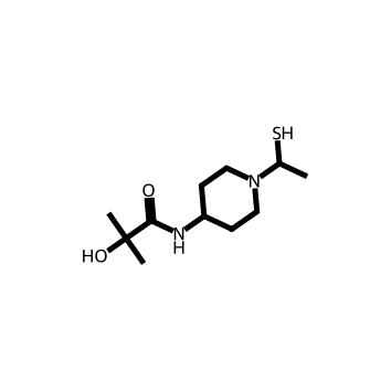 CC(S)N1CCC(NC(=O)C(C)(C)O)CC1